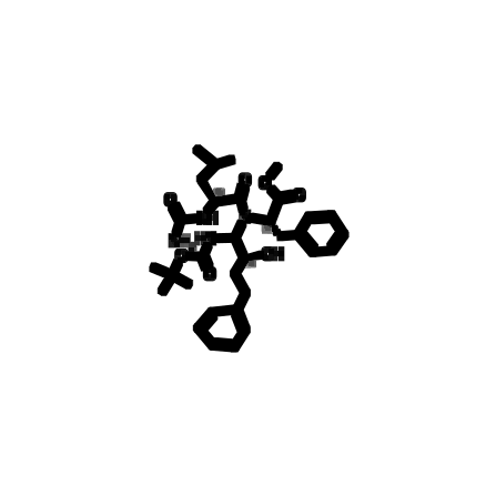 COC(=O)[C@H](Cc1ccccc1)N(C(=O)[C@H](CC(C)C)NC(N)=O)C(NC(=O)OC(C)(C)C)[C@@H](O)CCc1ccccc1